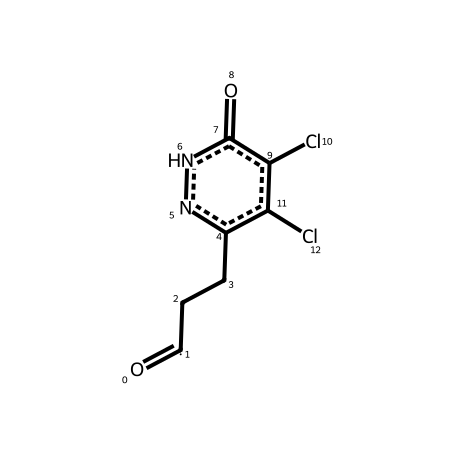 O=[C]CCc1n[nH]c(=O)c(Cl)c1Cl